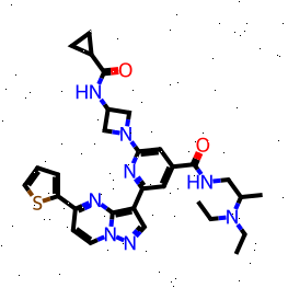 CCN(CC)C(C)CNC(=O)c1cc(-c2cnn3ccc(-c4cccs4)nc23)nc(N2CC(NC(=O)C3CC3)C2)c1